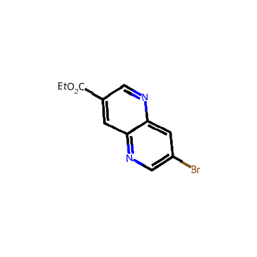 CCOC(=O)c1cnc2cc(Br)cnc2c1